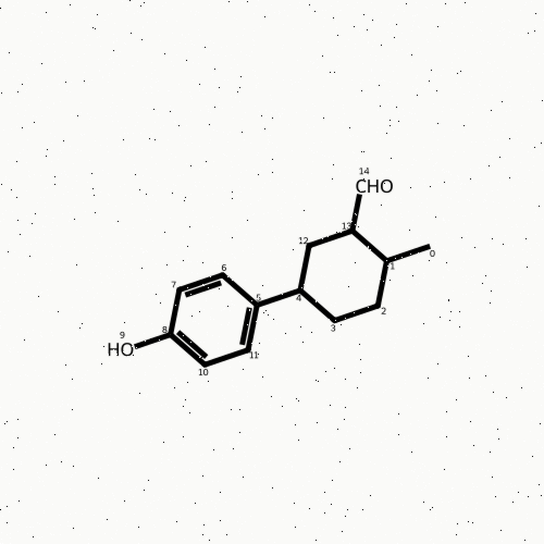 CC1CCC(c2ccc(O)cc2)CC1C=O